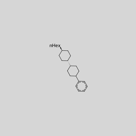 CCCCCC[C@H]1CC[C@H](C2CCC(c3ccccc3)CC2)CC1